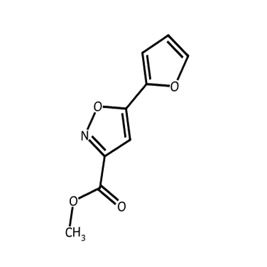 COC(=O)c1cc(-c2ccco2)on1